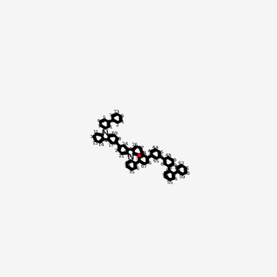 c1ccc(-c2cccc(-n3c4ccccc4c4cc(-c5ccc6c(c5)c5ccccc5n6-c5ccccc5-c5ccc(-c6cccc(-c7cccc(-c8ccccc8-c8ccccc8)c7)c6)cc5)ccc43)c2)cc1